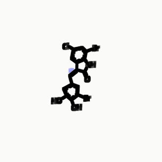 O=C1Nc2c(Br)cc(Cl)cc2/C1=C/c1cc(O)c(O)c(Br)c1